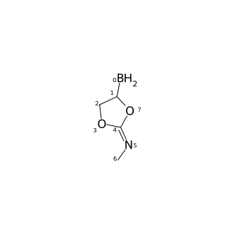 BC1CO/C(=N\C)O1